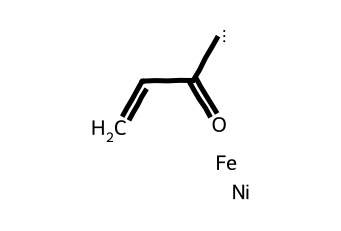 [C]C(=O)C=C.[Fe].[Ni]